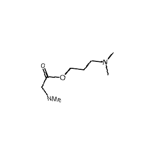 CNCC(=O)OCCCN(C)C